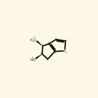 C[C@H]1c2ccsc2C[C@H]1O